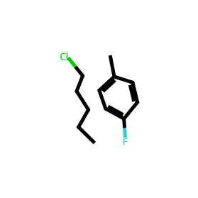 CCCCCCl.Cc1ccc(F)cc1